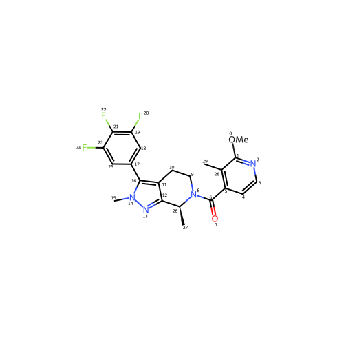 COc1nccc(C(=O)N2CCc3c(nn(C)c3-c3cc(F)c(F)c(F)c3)[C@@H]2C)c1C